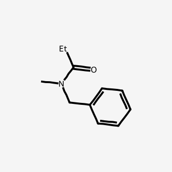 [CH2]CC(=O)N(C)Cc1ccccc1